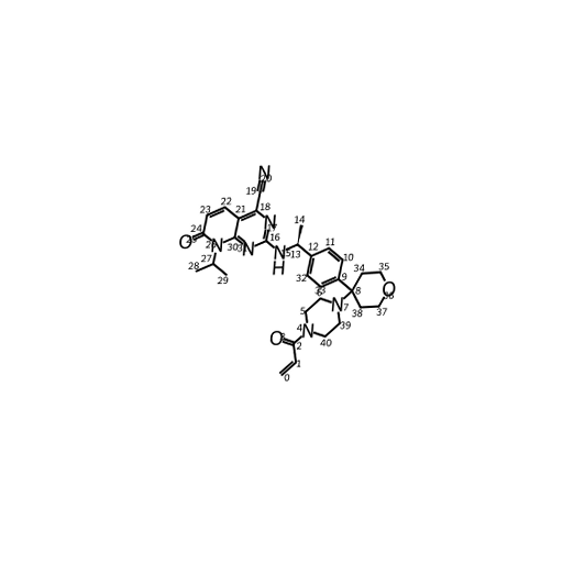 C=CC(=O)N1CCN(C2(c3ccc([C@H](C)Nc4nc(C#N)c5ccc(=O)n(C(C)C)c5n4)cc3)CCOCC2)CC1